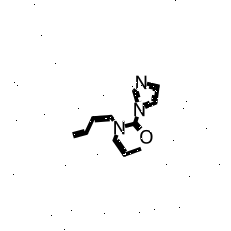 C=C/C=C\N(/C=C\C)C(=O)n1ccnc1